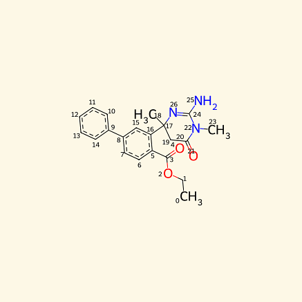 CCOC(=O)c1ccc(-c2ccccc2)cc1C1(C)CC(=O)N(C)C(N)=N1